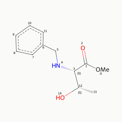 COC(=O)[C@@H](NCc1ccccc1)[C@H](C)O